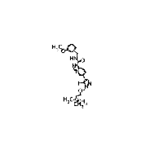 COc1cccc(CNC(=O)c2ncn3cc(-c4cnn(COCC[Si](C)(C)C)c4F)ccc23)c1